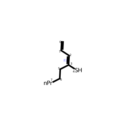 C=C/C=C(/S)CCCCC